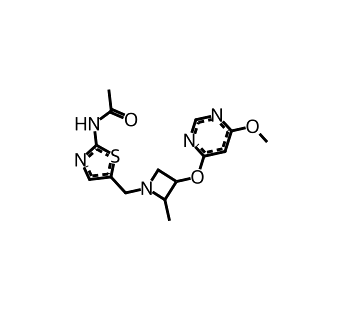 COc1cc(OC2CN(Cc3cnc(NC(C)=O)s3)C2C)ncn1